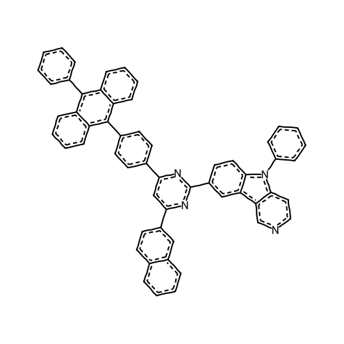 c1ccc(-c2c3ccccc3c(-c3ccc(-c4cc(-c5ccc6ccccc6c5)nc(-c5ccc6c(c5)c5cnccc5n6-c5ccccc5)n4)cc3)c3ccccc23)cc1